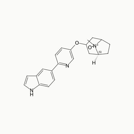 C[N+]1([O-])C2CC[C@H]1CC(Oc1ccc(-c3ccc4[nH]ccc4c3)nc1)C2